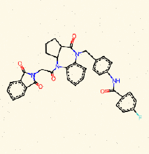 O=C(Nc1ccc(CN2C(=O)C3CCCC3N(C(=O)CN3C(=O)c4ccccc4C3=O)c3ccccc32)cc1)c1ccc(F)cc1